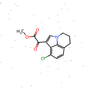 COC(=O)C(=O)c1cn2c3c(ccc(Cl)c13)CCC2